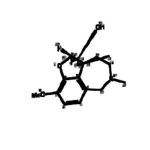 COc1ccc2c3c1O[C@H]1C[C@@H](O)C(C)[C@@]31CCN(C)C2